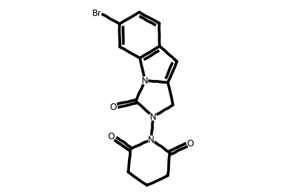 O=C1CCCC(=O)N1N1Cc2cc3ccc(Br)cc3n2C1=O